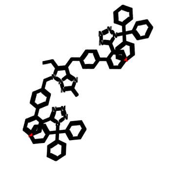 CCc1c(Cc2ccc(-c3ccccc3-c3nnnn3C(c3ccccc3)(c3ccccc3)c3ccccc3)cc2)c2nc(C)nn2n1Cc1ccc(-c2ccccc2-c2nnnn2C(c2ccccc2)(c2ccccc2)c2ccccc2)cc1